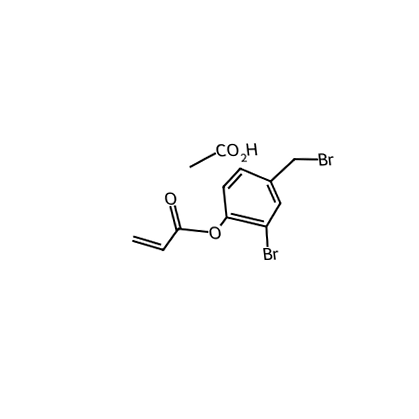 C=CC(=O)Oc1ccc(CBr)cc1Br.CC(=O)O